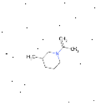 C=C(C)N1CCCC(C)C1